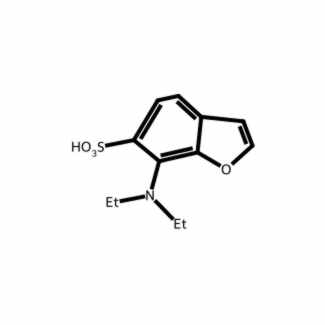 CCN(CC)c1c(S(=O)(=O)O)ccc2ccoc12